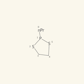 CCCP1SCCS1